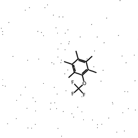 Cc1c(C)c(C)c(OC(F)(F)F)c(C)c1C